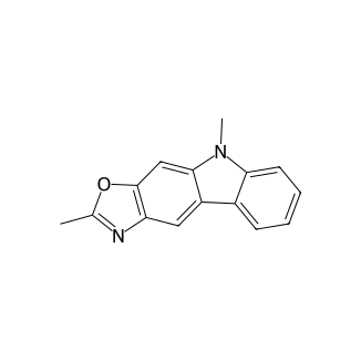 Cc1nc2cc3c4ccccc4n(C)c3cc2o1